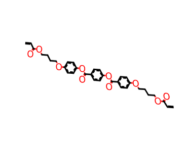 C=CC(=O)OCCCCOc1ccc(OC(=O)c2ccc(OC(=O)c3ccc(OCCCCOC(=O)C=C)cc3)cc2)cc1